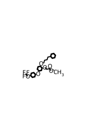 CCOC(=O)COc1cc(Oc2ccc(OC(F)(F)F)cc2)ccc1OCCCCc1ccccc1